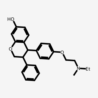 CCN(C)CCOc1ccc(C2c3ccc(O)cc3OCC2c2ccccc2)cc1